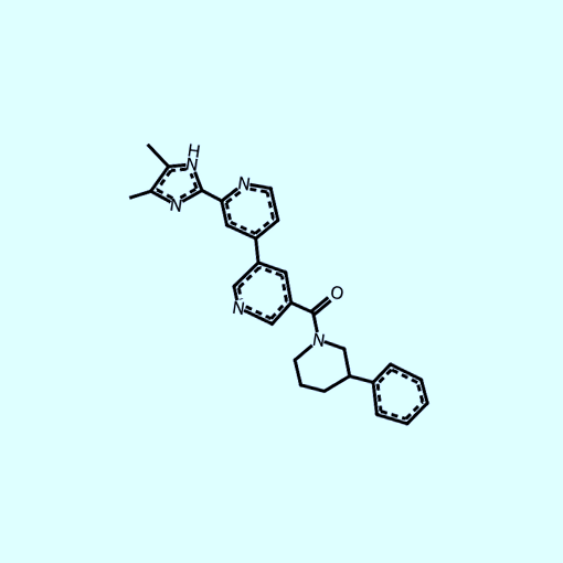 Cc1nc(-c2cc(-c3cncc(C(=O)N4CCCC(c5ccccc5)C4)c3)ccn2)[nH]c1C